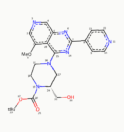 COc1cncc2nc(-c3ccncc3)nc(N3CCN(C(=O)OC(C)(C)C)[C@@H](CO)C3)c12